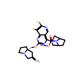 C=C1CN2CCC[C@@]2(COc2nc(N3CC4CCC(C3)N4C(=O)OC(C)(C)C)c3cnc(Cl)c(F)c3n2)C1